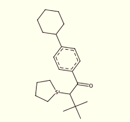 CC(C)(C)C(C(=O)c1ccc(C2CCCCC2)cc1)[S+]1CCCC1